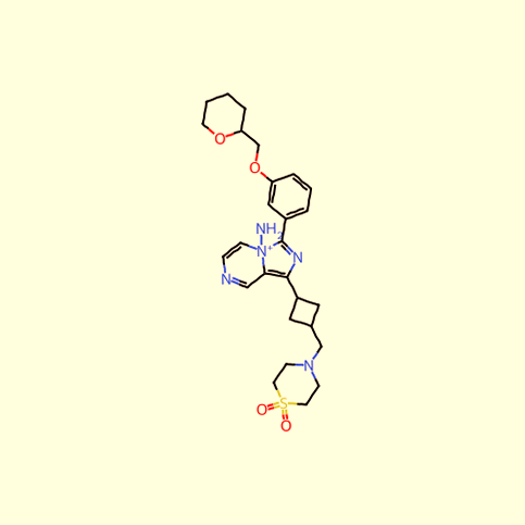 N[N+]12C=CN=CC1=C(C1CC(CN3CCS(=O)(=O)CC3)C1)N=C2c1cccc(OCC2CCCCO2)c1